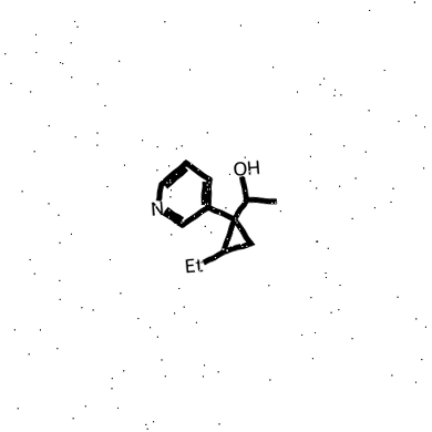 CCC1CC1(c1cccnc1)C(C)O